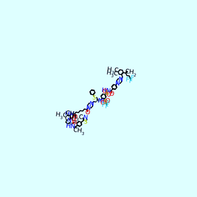 C=C(CCC(F)(F)F)C1=C(CN2CCN(c3ccc(C(=O)NS(=O)(=O)c4ccc(N[C@H](CCN5CCN(C(=O)CCCCCC(=O)NC(C(=O)N6CCC[C@H]6C(=O)N[C@@H](C)c6ccc(-c7scnc7C)cc6)C(C)(C)C)CC5)CSc5ccccc5)c(S(=O)(=O)C(F)(F)F)c4)cc3)CC2)CC(C)(C)CC1